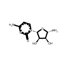 Nc1ccn([C@@H]2O[C@H](N)[C@@H](O)[C@H]2O)c(=O)n1